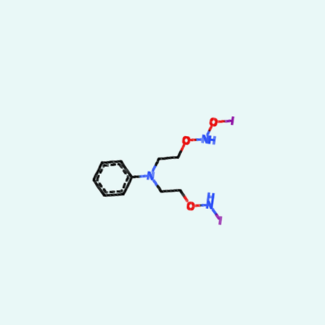 INOCCN(CCONOI)c1ccccc1